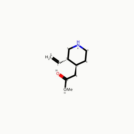 C=C[C@@H]1CNCC[C@H]1CC(=O)OC